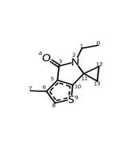 CCN1C(=O)c2c(C)csc2C12CC2